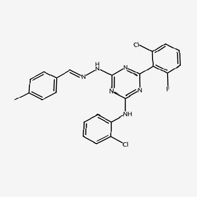 Cc1ccc(C=NNc2nc(Nc3ccccc3Cl)nc(-c3c(F)cccc3Cl)n2)cc1